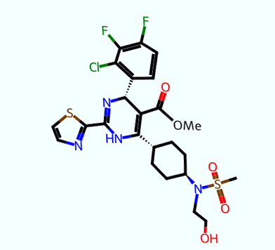 COC(=O)C1=C([C@H]2CC[C@H](N(CCO)S(C)(=O)=O)CC2)NC(c2nccs2)=N[C@@H]1c1ccc(F)c(F)c1Cl